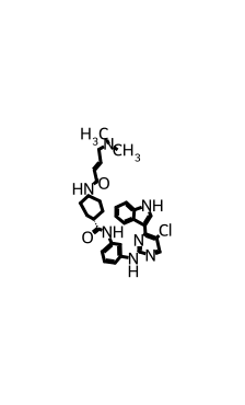 CN(C)C/C=C/C(=O)N[C@H]1CC[C@H](C(=O)Nc2cccc(Nc3ncc(Cl)c(-c4c[nH]c5ccccc45)n3)c2)CC1